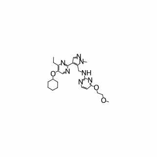 CCc1nc(-c2cnn(C)c2CNc2nccc(OCCOC)n2)ncc1OC1CCCCC1